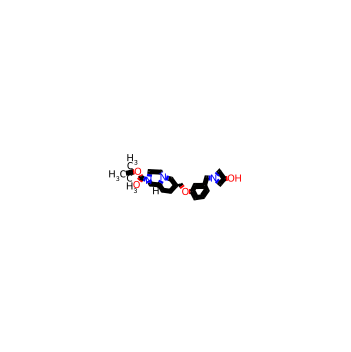 CC(C)(C)OC(=O)N1CCN2C[C@@H](COc3cccc(CN4CC(O)C4)c3)CC[C@H]2C1